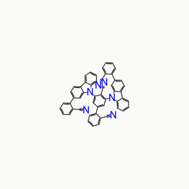 N#Cc1ccccc1-c1cc(-n2c3ccccc3c3ccc(-c4ccccc4C#N)cc32)c(C#N)c(-n2c3ccccc3c3ccc(-c4ccccc4C#N)cc32)c1